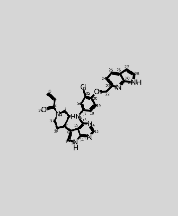 C=CC(=O)N1CCC(c2c[nH]c3ncnc(Nc4ccc(OCc5ccc6cc[nH]c6n5)c(Cl)c4)c23)CC1